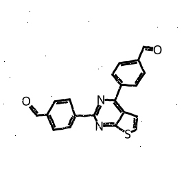 O=Cc1ccc(-c2nc(-c3ccc(C=O)cc3)c3ccsc3n2)cc1